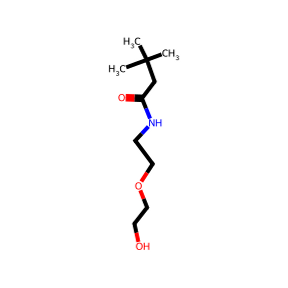 CC(C)(C)CC(=O)NCCOCCO